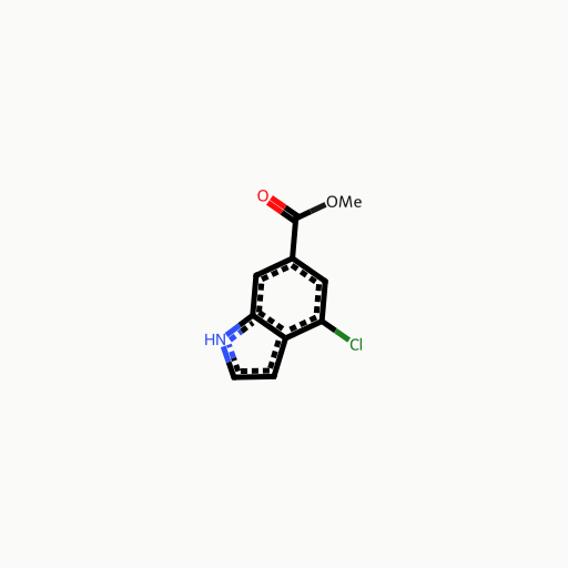 COC(=O)c1cc(Cl)c2cc[nH]c2c1